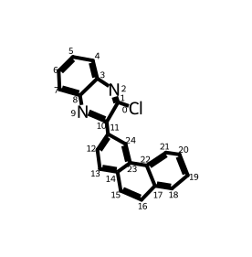 Clc1nc2ccccc2nc1-c1ccc2ccc3ccccc3c2c1